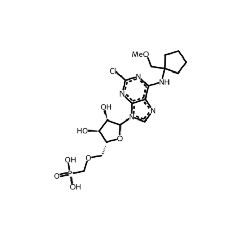 COCC1(Nc2nc(Cl)nc3c2ncn3C2O[C@H](COCP(=O)(O)O)[C@@H](O)[C@H]2O)CCCC1